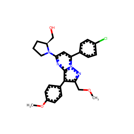 COCc1nn2c(-c3ccc(Cl)cc3)cc(N3CCC[C@H]3CO)nc2c1-c1ccc(OC)cc1